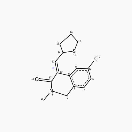 CN1Cc2ccc(Cl)cc2/C(=C\C2CCCS2)C1=O